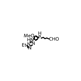 CCc1cnc2cnc(Nc3ccc(PCCCCCC=O)cc3OC)cn12